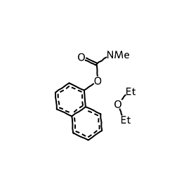 CCOCC.CNC(=O)Oc1cccc2ccccc12